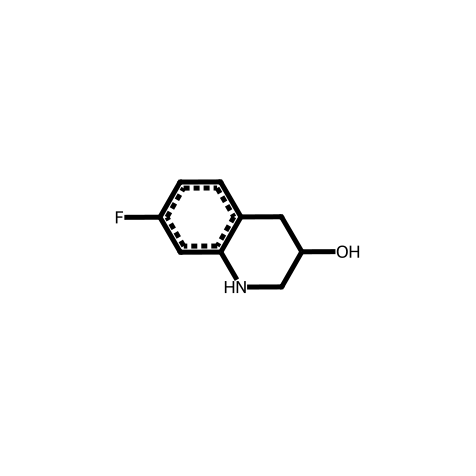 OC1CNc2cc(F)ccc2C1